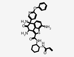 C=CC(=O)N[C@@H]1CCCC[C@H]1NC(=O)c1sc2c(N)ccc3c2c1C(N)C(=O)C3(N)c1ccc(Oc2ccccc2)nc1